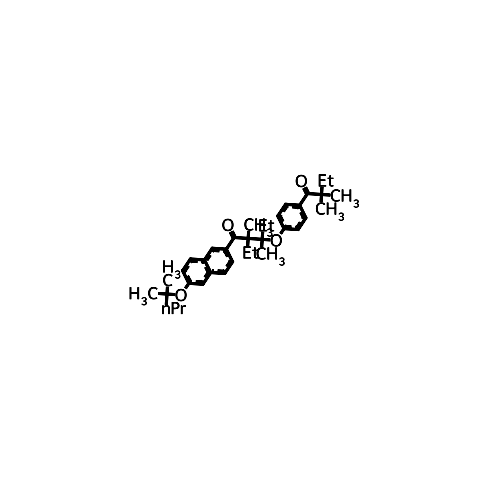 CCCC(C)(C)Oc1ccc2cc(C(=O)C(C)(CC)C(C)(CC)Oc3ccc(C(=O)C(C)(C)CC)cc3)ccc2c1